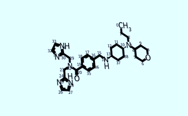 CCCN(C1CCOCC1)[C@H]1CC[C@H](NCc2ccc(C(=O)N(Cc3ncc[nH]3)Cc3ncc[nH]3)cc2)CC1